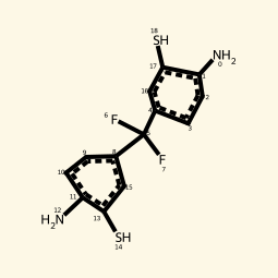 Nc1ccc(C(F)(F)c2ccc(N)c(S)c2)cc1S